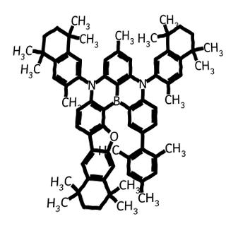 Cc1cc(C)c(-c2ccc3c(c2)B2c4c(cc(C)cc4N(c4cc5c(cc4C)C(C)(C)CCC5(C)C)c4ccc5c(oc6cc7c(cc65)C(C)(C)CCC7(C)C)c42)N3c2cc3c(cc2C)C(C)(C)CCC3(C)C)c(C)c1